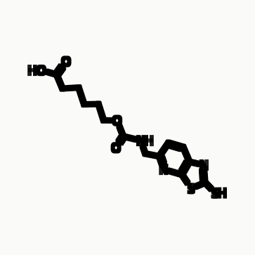 O=C(O)CCCCCOC(=O)NCc1ccc2nc(S)sc2n1